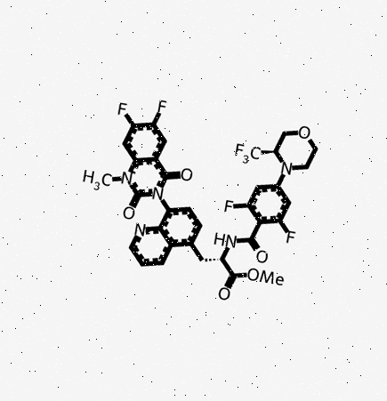 COC(=O)[C@H](Cc1ccc(-n2c(=O)c3cc(F)c(F)cc3n(C)c2=O)c2ncccc12)NC(=O)c1c(F)cc(N2CCOC[C@@H]2C(F)(F)F)cc1F